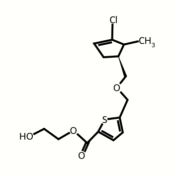 CC1C(Cl)=CC[C@@H]1COCc1ccc(C(=O)OCCO)s1